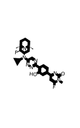 Cn1c(F)cc(-c2ccc(-c3ncc(N(C4CC4)[C@H]4C[C@]5(C)CCC[C@@](C)(N5)[C@H]4F)nn3)c(O)c2)nc1=O